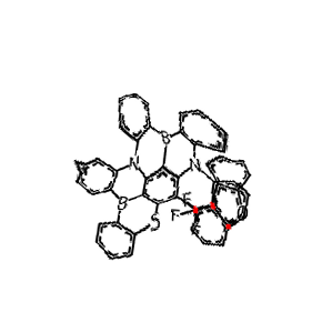 FC(F)(F)c1ccccc1N1c2ccccc2B2c3ccccc3N3c4ccccc4B4c5ccccc5Sc5c4c3c2c1c5-c1cccc2oc3ccccc3c12